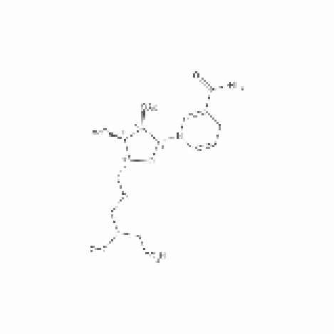 CC(=O)O[C@@H]1[C@H](OC(C)=O)[C@@H](COCC(C=O)CC(=O)O)O[C@H]1N1C=CCC(C(N)=O)=C1